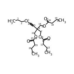 CCCOC#CC(COC(=O)CCC)(COC(=O)CCC)COC(=O)CCC